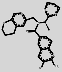 C[C@H](c1ncccn1)N(Cc1cc2c(cn1)OCCC2)C(=O)c1ccc2nc(N)c(Br)cc2c1